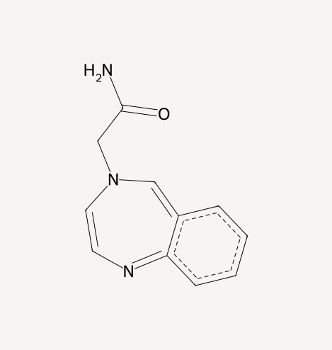 NC(=O)CN1C=CN=c2ccccc2=C1